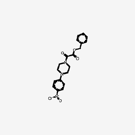 O=C(OCc1ccccc1)C(=O)N1CCN(c2ccc([N+](=O)[O-])cc2)CC1